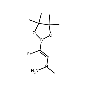 CC/C(=C\N(C)N)B1OC(C)(C)C(C)(C)O1